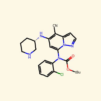 CC(C)(C)OC(=O)N(c1ccccc1Cl)c1cc(N[C@H]2CCCNC2)c(C#N)c2ccnn12